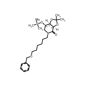 CC1(C)O[C@@H]2[C@H](O[Si](C)(C)C(C)(C)C)CN(CCCCCCOCc3ccccc3)C(=O)[C@@H]2O1